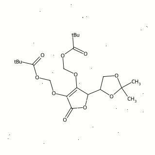 CC1(C)OCC(C2OC(=O)C(OCOC(=O)C(C)(C)C)=C2OCOC(=O)C(C)(C)C)O1